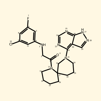 O=C(CNc1cc(F)cc(Cl)c1)N1CCCCC12CCCN(c1ncnc3[nH]ncc13)C2